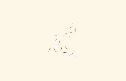 CCc1cccc(CC)c1-n1nc2c(c1-c1cc(F)c(NC(N)=O)cc1F)CN(C(C)(C)c1cccc(F)c1)CC2